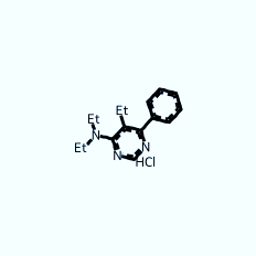 CCc1c(-c2ccccc2)ncnc1N(CC)CC.Cl